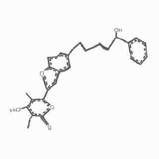 Cc1c(-c2cc3cc(CCCCC(O)c4ccccc4)ccc3o2)oc(=O)c(C)c1O